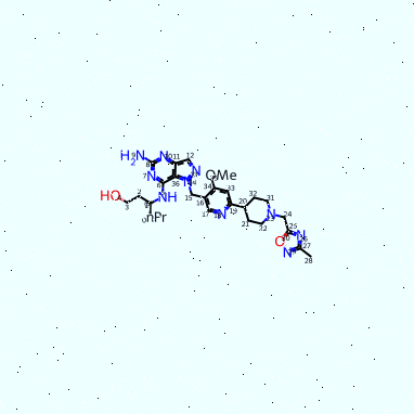 CCC[C@@H](CCO)Nc1nc(N)nc2cnn(Cc3cnc(C4CCN(Cc5nc(C)no5)CC4)cc3OC)c12